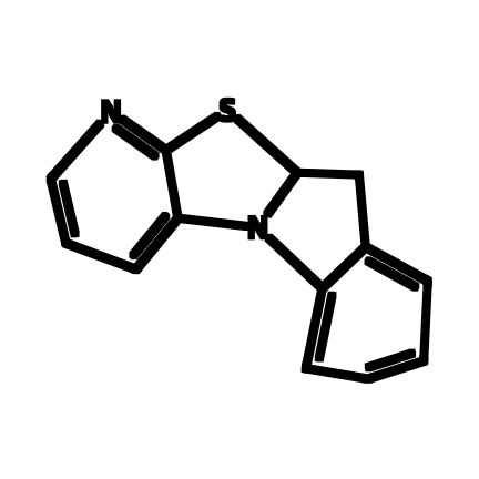 c1ccc2c(c1)CC1Sc3ncccc3N21